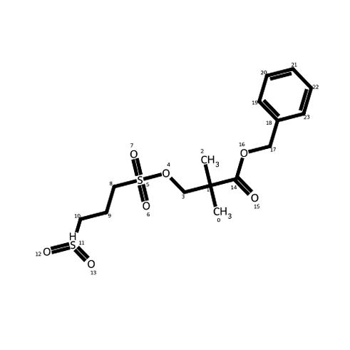 CC(C)(COS(=O)(=O)CCC[SH](=O)=O)C(=O)OCc1ccccc1